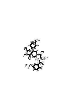 CC(C)[C@@H](NC(=O)c1cc(C(F)(F)F)ccc1F)C(=O)N1CCC2(CC1)C(=O)N(C)C(=O)N2c1cc[n+](O)cc1